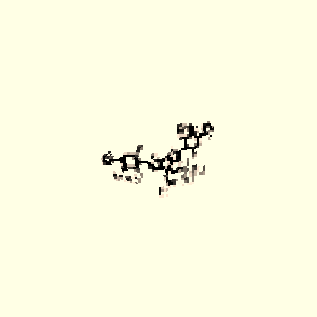 C=C1C(c2cccs2)=CC(F)C(c2cc3c(s2)-c2sc(C4=C(F)C=C(c5cccs5)C(=C)/C4=N\SC)cc2C3(CC(CC)CCCC)CC(CC)CCCC)/C1=N/SC